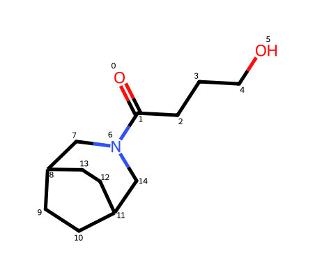 O=C(CCCO)N1CC2CCC(CC2)C1